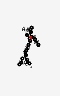 CC1(C)c2ccccc2-c2ccc(N(c3cccc(-c4ccc5ccccc5c4)c3)c3ccc4c(c3)oc3cc5oc(-c6ccc(-c7ccc8ccc(-c9ccccc9N(c9ccc%10c(c9)C(C)(C)c9ccccc9-%10)c9ccc%10c(c9)oc9cc%11nc(-c%12ccccc%12)oc%11cc9%10)cc8c7)cc6)nc5cc34)cc21